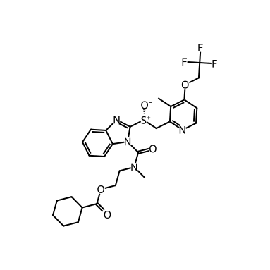 Cc1c(OCC(F)(F)F)ccnc1C[S@@+]([O-])c1nc2ccccc2n1C(=O)N(C)CCOC(=O)C1CCCCC1